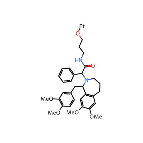 CCOCCCNC(=O)C(c1ccccc1)N1CCCc2cc(OC)c(OC)cc2C1Cc1ccc(OC)c(OC)c1